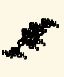 CO[Si](C)(CCC1CCC(CC[Si](C)(OC)OC)C(CC[Si](C)(C)O[Si](C)(C)CCC2CCC(CC[Si](C)(OC)OC)CC2CC[Si](C)(OC)OC)C1)OC